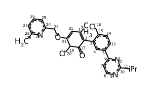 CC1=C(c2cc(-c3ccnc(C(C)C)n3)ccc2Cl)C(=O)C(Cl)C(OCc2cccc(C)n2)=C1